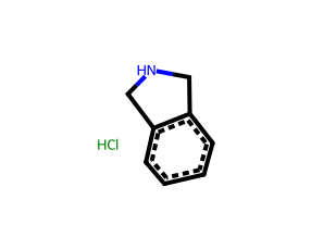 Cl.c1ccc2c(c1)CNC2